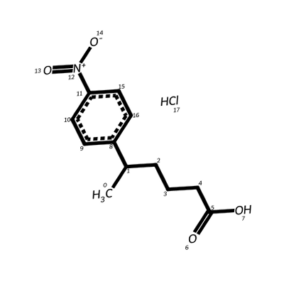 CC(CCCC(=O)O)c1ccc([N+](=O)[O-])cc1.Cl